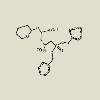 O=C(O)C(CC(OC1CCCCO1)C(=O)O)CP(=O)(OCc1ccccc1)OCc1ccccc1